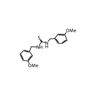 COc1cccc(CNC(=S)NCc2cccc(OC)c2)c1